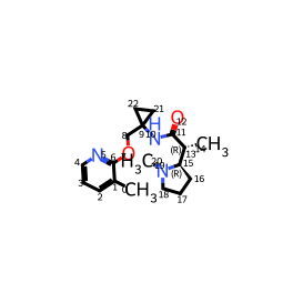 Cc1cccnc1OCC1(NC(=O)[C@H](C)[C@H]2CCCN2C)CC1